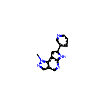 Cn1ncc2cnc3[nH]c(-c4cccnc4)cc3c21